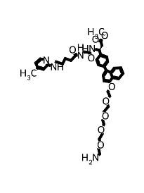 COC(=O)C[C@H](NC(=O)CNC(=O)CCCCNc1cc(C)ccn1)c1ccc(-c2ccc(OCCOCCOCCOCCOCCN)c3ccccc23)cc1